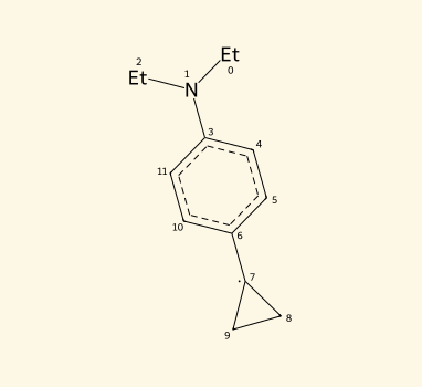 CCN(CC)c1ccc([C]2CC2)cc1